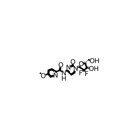 COc1ccc(C(=O)Nc2ccn([C@@H]3O[C@H](CO)[C@@H](O)C3(F)F)c(=O)n2)nc1